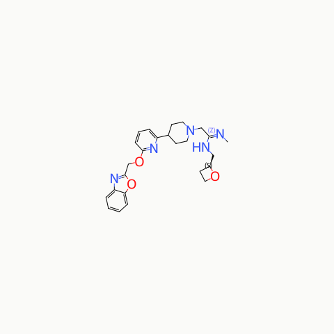 C/N=C(/CN1CCC(c2cccc(OCc3nc4ccccc4o3)n2)CC1)NC[C@@H]1CCO1